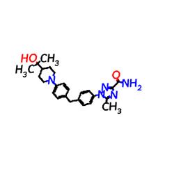 Cc1nc(C(N)=O)nn1-c1ccc(Cc2ccc(N3CCC(C(C)(C)O)CC3)cc2)cc1